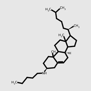 CCCCCN[C@H]1CCC2(C)C(=CC[C@H]3C2CCC2(C)C3CCC2[C@H](C)CCCC(C)C)C1